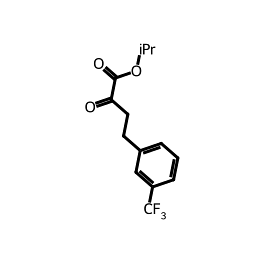 CC(C)OC(=O)C(=O)CCc1cccc(C(F)(F)F)c1